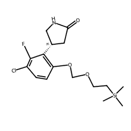 C[Si](C)(C)CCOCOc1ccc(Cl)c(F)c1[C@@H]1CNC(=O)C1